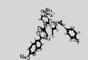 COc1ccc2cc(C(=O)N[C@@H](CCCN[C@@H]3C[C@H]3c3ccc(F)cc3)C(=O)N3CCN(S(C)(=O)=O)CC3)ccc2c1